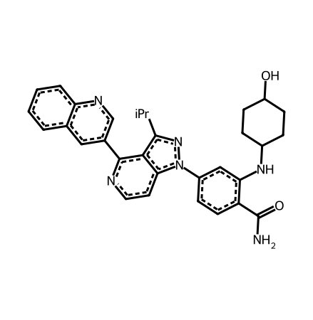 CC(C)c1nn(-c2ccc(C(N)=O)c(NC3CCC(O)CC3)c2)c2ccnc(-c3cnc4ccccc4c3)c12